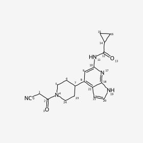 N#CCC(=O)N1CCC(c2cc(NC(=O)C3CC3)nc3[nH]ccc23)CC1